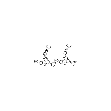 C=CC(=O)N1CC2(CCN(c3nc4c(c(-c5cc(O)ccc5Cl)c3C)CCN([C@@H]3CCCN(C)C3)C4)C2)C1.C=CC(=O)N1CC2(CCN(c3nc4c(c(-c5cc(O)ccc5Cl)c3C)CCN([C@H]3CCCN(C)C3)C4)C2)C1